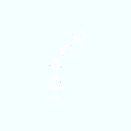 COC(=O)c1ccc(-c2noc(-c3ccc(-c4c(C)cccc4C)cc3)n2)cc1F